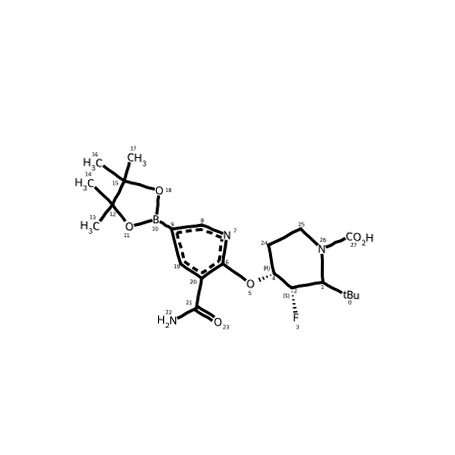 CC(C)(C)C1[C@H](F)[C@H](Oc2ncc(B3OC(C)(C)C(C)(C)O3)cc2C(N)=O)CCN1C(=O)O